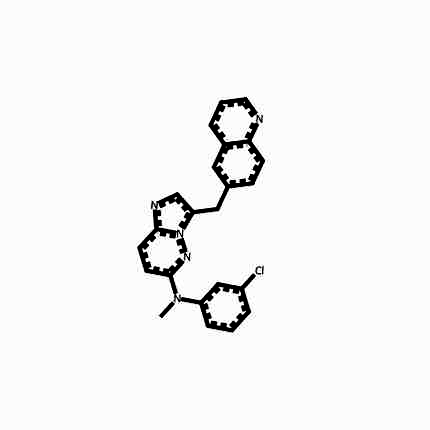 CN(c1cccc(Cl)c1)c1ccc2ncc(Cc3ccc4ncccc4c3)n2n1